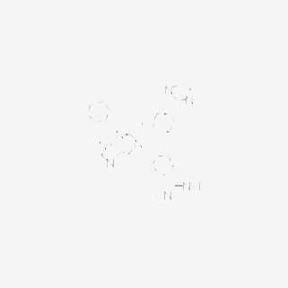 Cc1ccc(C(=N)N)cc1Oc1nc(Oc2cccc(-c3nccn3C)c2)nc2c1nc(C)n2Cc1ccccc1